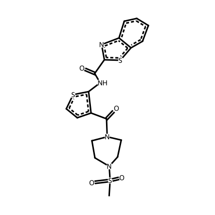 CS(=O)(=O)N1CCN(C(=O)c2ccsc2NC(=O)c2nc3ccccc3s2)CC1